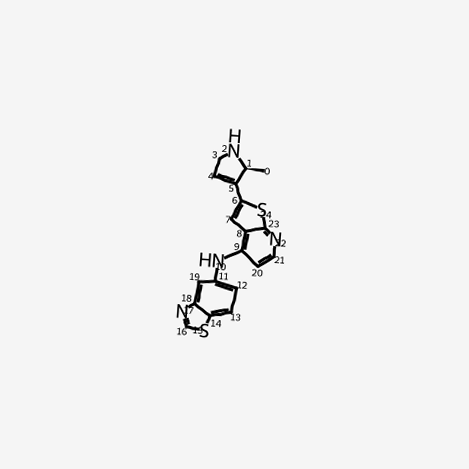 C[C@@H]1NCC=C1c1cc2c(Nc3ccc4scnc4c3)ccnc2s1